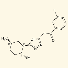 CC(C)[C@@H]1CC[C@@H](C)C[C@H]1n1cc(CC(=O)c2cccc(F)c2)nn1